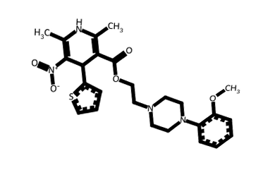 COc1ccccc1N1CCN(CCOC(=O)C2=C(C)NC(C)=C([N+](=O)[O-])C2c2cccs2)CC1